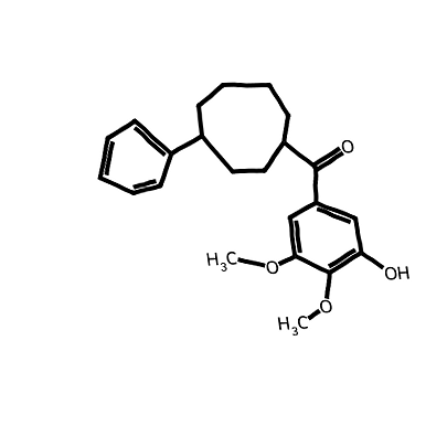 COc1cc(C(=O)C2CCCCC(c3ccccc3)CC2)cc(O)c1OC